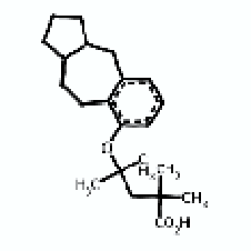 CC(C)(CC(C)(C)C(=O)O)Oc1cccc2c1CCC1CCCC1C2